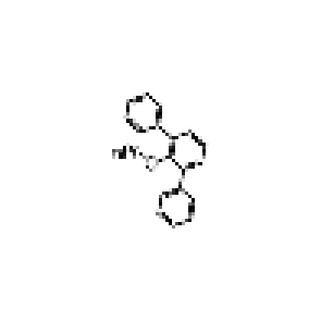 CCCOc1c(-c2ccccc2)cccc1-c1ccccc1